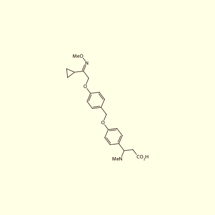 CNC(CC(=O)O)c1ccc(OCc2ccc(OC/C(=N/OC)C3CC3)cc2)cc1